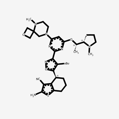 CCCCc1c(-c2nc(O[C@@H](C)[C@@H]3CCCN3C)cc(N3CCN(C)C4(COC4)C3)n2)noc1[C@H]1CCCc2sc(N)c(C#N)c21